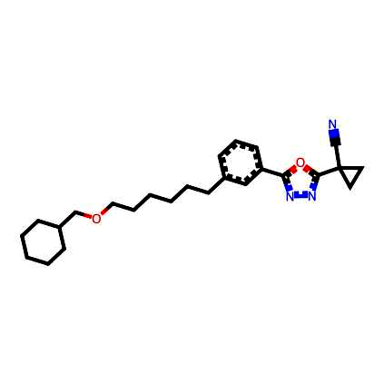 N#CC1(c2nnc(-c3cccc(CCCCCCOCC4CCCCC4)c3)o2)CC1